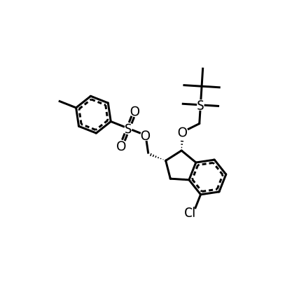 Cc1ccc(S(=O)(=O)OC[C@H]2Cc3c(Cl)cccc3[C@H]2OCS(C)(C)C(C)(C)C)cc1